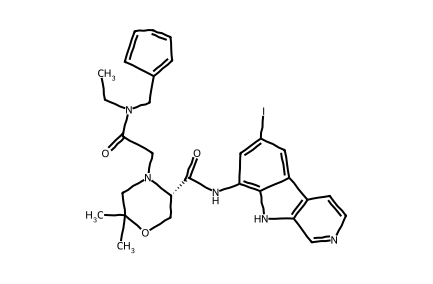 CCN(Cc1ccccc1)C(=O)CN1CC(C)(C)OC[C@H]1C(=O)Nc1cc(I)cc2c1[nH]c1cnccc12